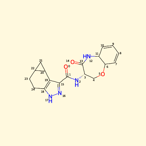 O=C(N[C@H]1COC2C=CC=CC2NC1=O)c1n[nH]c2c1C1CC1CC2